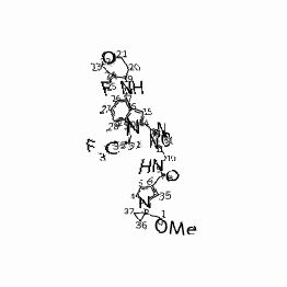 COCC1(n2ccc(C(=O)NCc3nc(-c4cc5c(N[C@@H]6CCOC[C@@H]6F)cccc5n4CC(F)(F)F)no3)c2)CC1